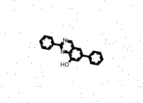 Oc1cc(-c2ccccc2)cc2cnc(-c3ccccc3)nc12